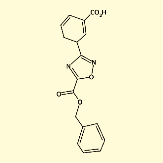 O=C(O)C1=CC(c2noc(C(=O)OCc3ccccc3)n2)CC=C1